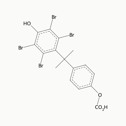 CC(C)(c1ccc(OC(=O)O)cc1)c1c(Br)c(Br)c(O)c(Br)c1Br